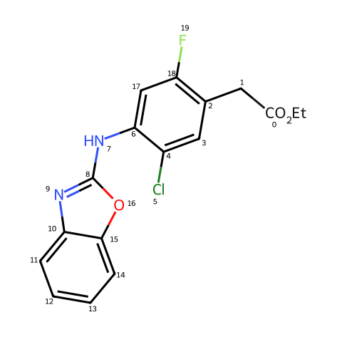 CCOC(=O)Cc1cc(Cl)c(Nc2nc3ccccc3o2)cc1F